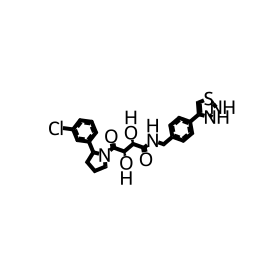 O=C(NCc1ccc(C2=CSNN2)cc1)[C@H](O)[C@@H](O)C(=O)N1CCCC1c1cccc(Cl)c1